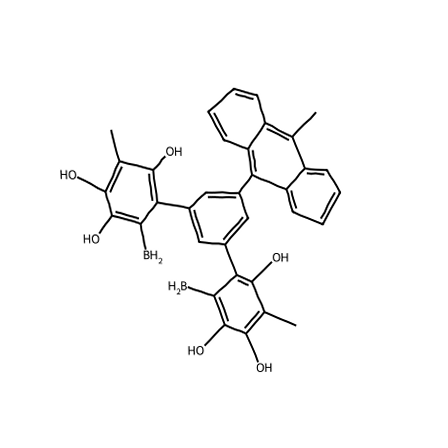 Bc1c(O)c(O)c(C)c(O)c1-c1cc(-c2c(B)c(O)c(O)c(C)c2O)cc(-c2c3ccccc3c(C)c3ccccc23)c1